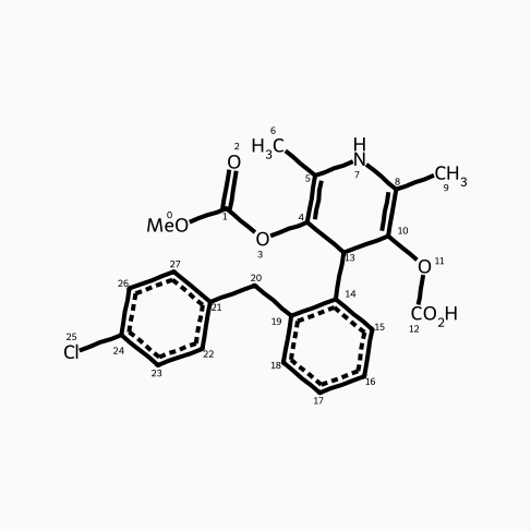 COC(=O)OC1=C(C)NC(C)=C(OC(=O)O)C1c1ccccc1Cc1ccc(Cl)cc1